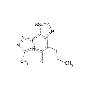 CCCn1c(=O)n2c(C)nnc2c2[nH]cnc21